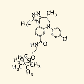 Cc1nnc2n1-c1ccc(C(=O)NCCO[Si](C)(C)C(C)(C)C)cc1N(c1ccc(Cl)cc1)C[C@H]2C